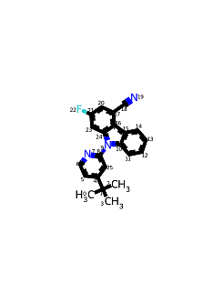 CC(C)(C)c1ccnc(-n2c3ccccc3c3c(C#N)cc(F)cc32)c1